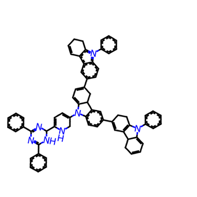 C1=CCC2C(=C1)N(c1ccccc1)C1=C2C=C(c2ccc3c(c2)C2CC(c4ccc5c(c4)c4c(n5-c5ccccc5)CCC=C4)=CC=C2N3C2=CC=C(C3N=C(c4ccccc4)N=C(c4ccccc4)N3)NC2)CC1